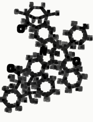 CC12CCC(C)(CC1)c1cc3c4c(-c5ccccc5)c5oc6ccccc6c5c5c6cc7c(cc6n(c3cc1C2=O)c45)C(=O)C1(C)c2ccccc2C2(C)c3ccccc3C712